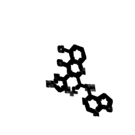 C[C@H](Nc1ncnc2occc12)c1nc2cccc(Cl)c2c(=O)n1-c1cc[nH]n1